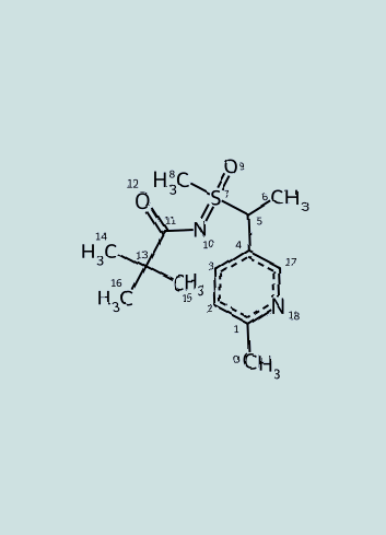 Cc1ccc(C(C)S(C)(=O)=NC(=O)C(C)(C)C)cn1